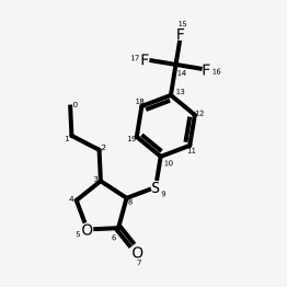 CCCC1COC(=O)C1Sc1ccc(C(F)(F)F)cc1